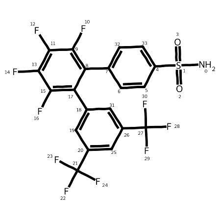 NS(=O)(=O)c1ccc(-c2c(F)c(F)c(F)c(F)c2-c2cc(C(F)(F)F)cc(C(F)(F)F)c2)cc1